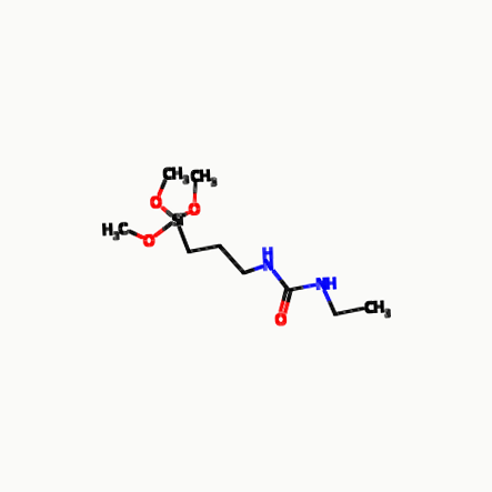 CCNC(=O)NCCC[Si](OC)(OC)OC